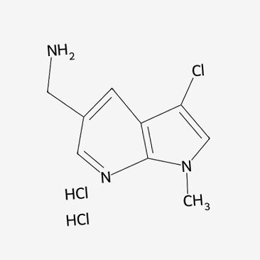 Cl.Cl.Cn1cc(Cl)c2cc(CN)cnc21